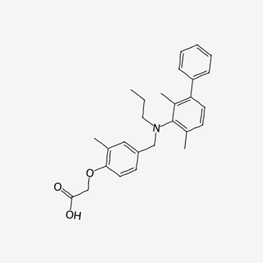 CCCN(Cc1ccc(OCC(=O)O)c(C)c1)c1c(C)ccc(-c2ccccc2)c1C